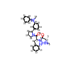 CN[C@@H](C)C(=O)N[C@@H](Cc1ccccc1)C(=O)N1CCC[C@H]1c1cccc(N(C)c2ccccc2)c1